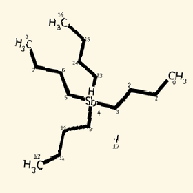 CCC[CH2][SbH]([CH2]CCC)([CH2]CCC)[CH2]CCC.[I]